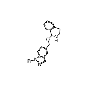 CC(C)n1ncc2cc(COC3NCCc4ccccc43)ccc21